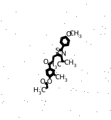 CCC(=O)Oc1ccc(C(=O)CCc2sc(-c3ccc(OC)cc3)nc2C(C)C)cc1C